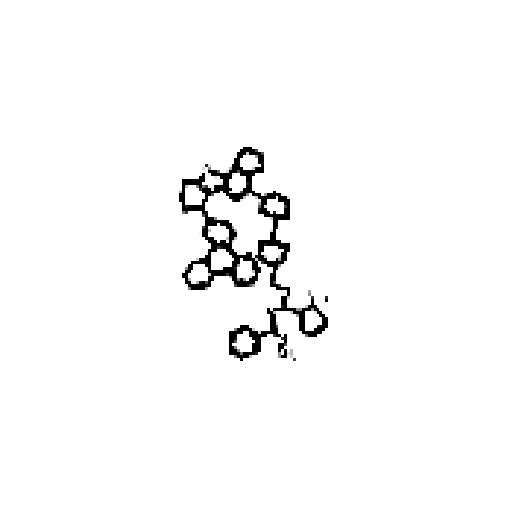 C=N/C(=N\C(=N/Cc1ccc(-c2cccc(-c3cc4c5c(oc4c4ccccc34)CCC=C5c3ccc4c(c3)c3c(c5ccccc54)C=CCC3)c2)cc1)C1=CC=CCC1C)c1ccccc1